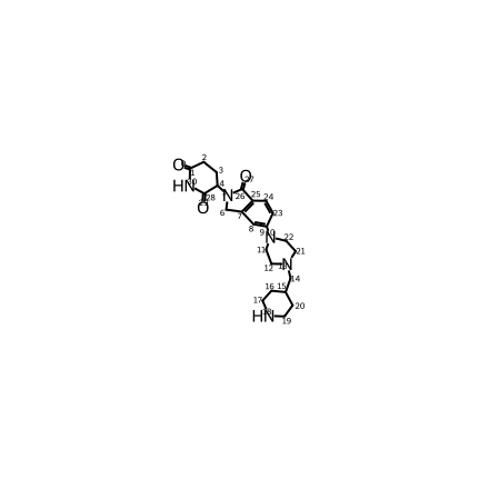 O=C1CCC(N2Cc3cc(N4CCN(CC5CCNCC5)CC4)ccc3C2=O)C(=O)N1